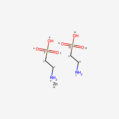 NCCS(=O)(=O)O.NCCS(=O)(=O)O.[Zn]